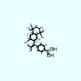 CC(C)=C(c1ccc(B(O)O)cc1)c1cc2c(cc1C)C(C)(C)CCC2(C)C